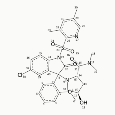 COc1ccccc1C1(N2C[C@H](O)C[C@H]2C(=O)N(C)C)C(=O)N(S(=O)(=O)c2ncc(C)cc2C)c2ccc(Cl)cc21